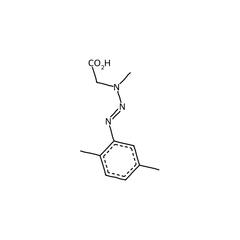 Cc1ccc(C)c(/N=N/N(C)CC(=O)O)c1